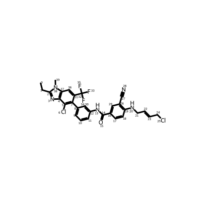 CCc1nc2c(Cl)c(-c3cccc(NC(=O)c4ccc(NC/C=C/CCl)c(C#N)c4)c3)c(C(F)(F)F)cc2n1C